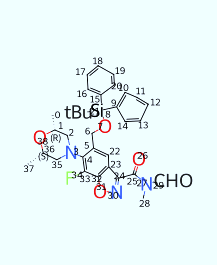 C[C@@H]1CN(c2c(CO[Si](c3ccccc3)(c3ccccc3)C(C)(C)C)cc3c(C(=O)N(C)C=O)noc3c2F)C[C@H](C)O1